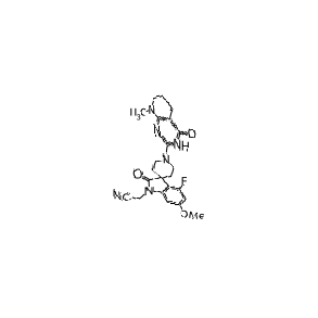 COc1cc(F)c2c(c1)N(CC#N)C(=O)C21CCN(c2nc3c(c(=O)[nH]2)CCCN3C)CC1